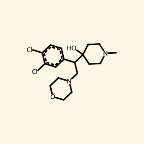 CN1CCC(O)(C(CN2CCOCC2)c2ccc(Cl)c(Cl)c2)CC1